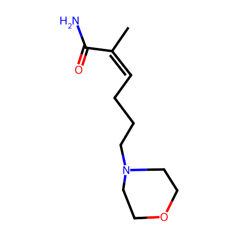 CC(=CCCCN1CCOCC1)C(N)=O